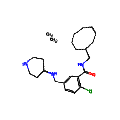 O=C(NC[C]1CCCCCCC1)c1cc(CNC2CCNCC2)ccc1Cl.[CH2].[CH2]